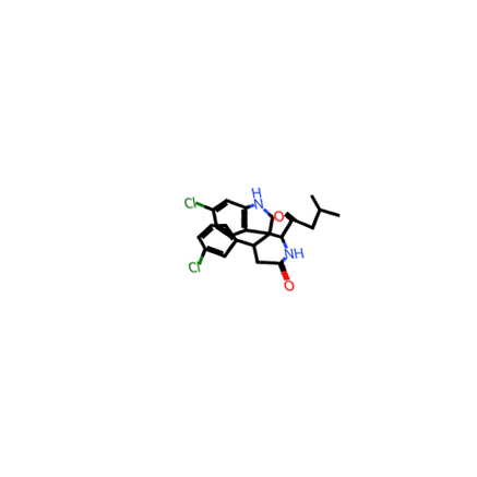 C=C(CC(C)C)C1NC(=O)CC(c2cccc(Cl)c2)C12C(=O)Nc1cc(Cl)ccc12